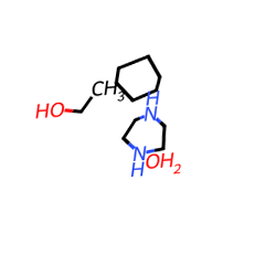 C1CCCCC1.C1CNCCN1.CCO.O